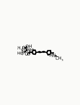 CCNCc1ccc(C#CC#Cc2ccc(C(=O)N[C@H](C(=O)NO)[C@@H](C)O)cc2)cc1